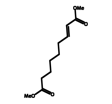 COC(=O)C=CCCCCCC(=O)OC